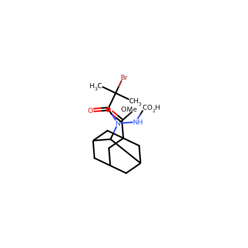 COC(=O)C12CC3CC(C1)C(N(NC(=O)O)C(=O)C(C)(C)Br)C(C3)C2